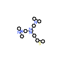 c1ccc(-c2nc3ccccc3n2-c2ccc(-c3nc(-c4ccc(-c5ccc6sc7ccccc7c6c5)cc4)cc(-c4ccc(-n5c6ccccc6c6ccccc65)cc4)n3)cc2)cc1